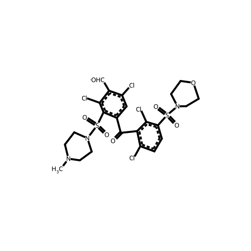 CN1CCN(S(=O)(=O)c2c(C(=O)c3c(Cl)ccc(S(=O)(=O)N4CCOCC4)c3Cl)cc(Cl)c([C]=O)c2Cl)CC1